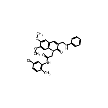 COc1cc2cc(CNc3ccccc3)c(=O)n(CC(=O)Nc3cc(Cl)ccc3C)c2cc1OC